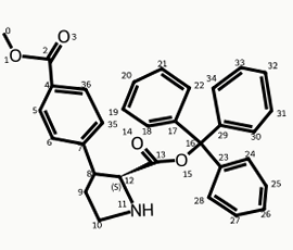 COC(=O)c1ccc(C2CCN[C@@H]2C(=O)OC(c2ccccc2)(c2ccccc2)c2ccccc2)cc1